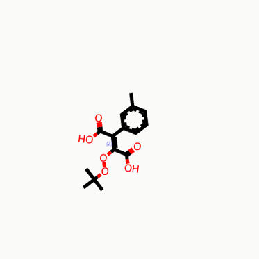 Cc1cccc(/C(C(=O)O)=C(/OOC(C)(C)C)C(=O)O)c1